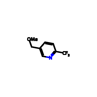 [CH2]OCc1ccc(C(F)(F)F)nc1